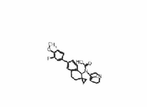 COc1ccc(-c2ccc3c(c2)CCC2(CC2)[C@@H]3N(C(=O)O)C2CN3CCC2CC3)cc1F